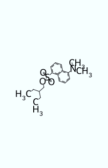 CCC(CC)COS(=O)(=O)c1cccc2c(N(C)C)cccc12